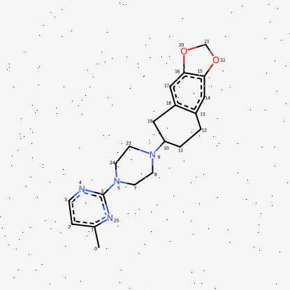 Cc1ccnc(N2CCN(C3CCc4cc5c(cc4C3)OCO5)CC2)n1